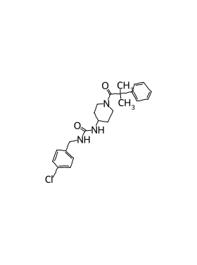 CC(C)(C(=O)N1CCC(NC(=O)NCc2ccc(Cl)cc2)CC1)c1ccccc1